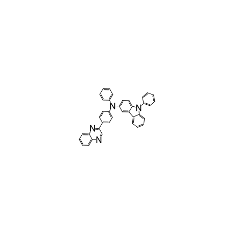 c1ccc(N(c2ccc(-c3cnc4ccccc4n3)cc2)c2ccc3c(c2)c2ccccc2n3-c2ccccc2)cc1